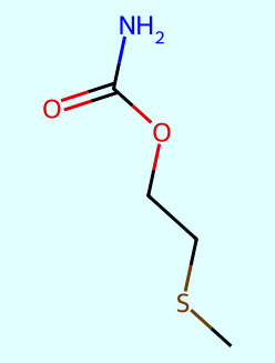 CSCCOC(N)=O